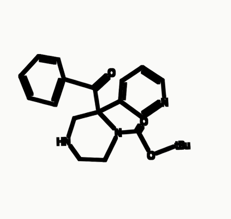 CC(C)(C)OC(=O)N1CCNCC1(C(=O)c1ccccc1)c1cccnc1